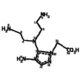 NCCN(CCN)c1c(N)cnn1CC(=O)O